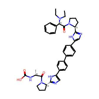 CCN(CC)[C@@H](C(=O)N1CCC[C@H]1c1ncc(-c2ccc(-c3ccc(-c4cnc([C@@H]5CCCN5C(=O)[C@@H](C)NC(=O)O)[nH]4)cc3)cc2)[nH]1)c1ccccc1